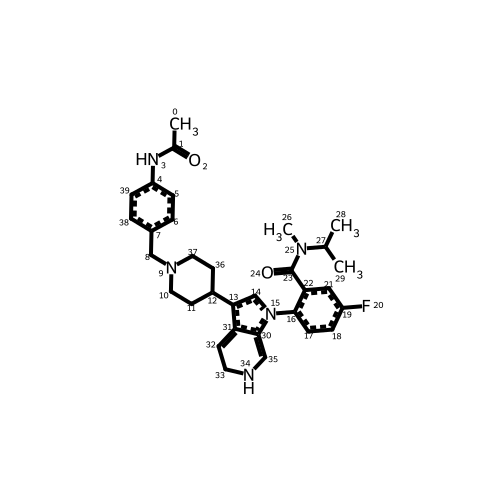 CC(=O)Nc1ccc(CN2CCC(c3cn(-c4ccc(F)cc4C(=O)N(C)C(C)C)c4c3=CCNC=4)CC2)cc1